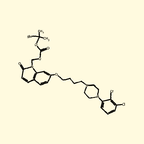 CC(C)(C)C(C)(C)OC(=O)OCn1c(=O)ccc2ccc(OCCCCN3CCN(c4cccc(Cl)c4Cl)CC3)cc21